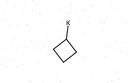 [K][CH]1CCC1